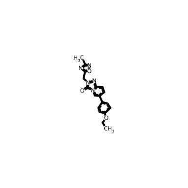 CCOc1ccc(-c2ccc3nn(Cc4nc(C)no4)c(=O)n3c2)cc1